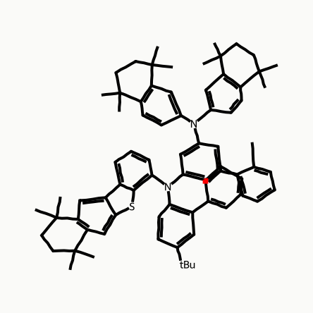 Cc1ccccc1-c1cc(N(c2ccc3c(c2)C(C)(C)CCC3(C)C)c2ccc3c(c2)C(C)(C)CCC3(C)C)cc(N(c2ccc(C(C)(C)C)cc2-c2ccccc2)c2cccc3c2sc2cc4c(cc23)C(C)(C)CCC4(C)C)c1